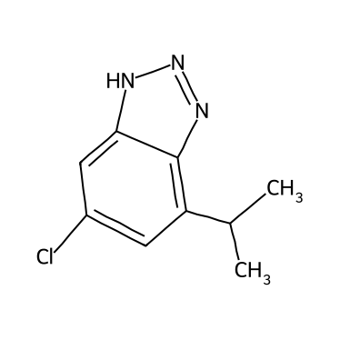 CC(C)c1cc(Cl)cc2[nH]nnc12